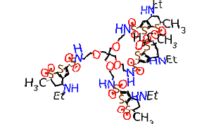 CCN[C@H]1CC(C)S(=O)(=O)c2sc(S(=O)(=O)NCCOCC(COCCNS(=O)(=O)c3cc4c(s3)S(=O)(=O)C(C)C[C@@H]4NCC)(COCCNS(=O)(=O)c3cc4c(s3)S(=O)(=O)[C@@H](C)C[C@@H]4NCC)COCCNS(=O)(=O)c3cc4c(s3)S(=O)(=O)C(C)(C)C[C@@H]4NCC)cc21